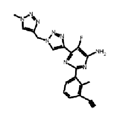 C#Cc1cccc(-c2nc(N)c(F)c(-c3cn(Cc4cn(C)nn4)nn3)n2)c1C